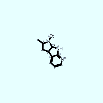 CCN1C(C)CC2c3cccnc3NC21